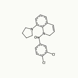 O=C(c1ccc(Cl)c(Cl)c1)N1CC=Cc2cccc(N3CCCC3)c21